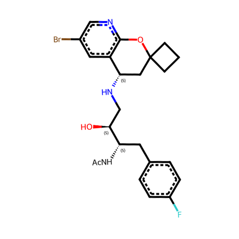 CC(=O)N[C@@H](Cc1ccc(F)cc1)[C@@H](O)CN[C@H]1CC2(CCC2)Oc2ncc(Br)cc21